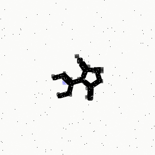 C/C=C(\CC)N1C(=O)CNC1=O